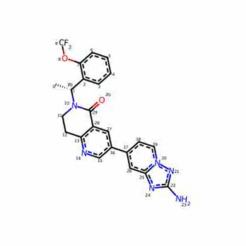 C[C@H](c1ccccc1OC(F)(F)F)N1CCc2ncc(-c3ccn4nc(N)nc4c3)cc2C1=O